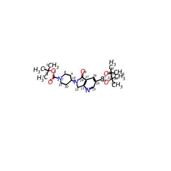 CC(C)(C)OC(=O)N1CCC(N2Cc3ncc(B4OC(C)(C)C(C)(C)O4)cc3C2=O)CC1